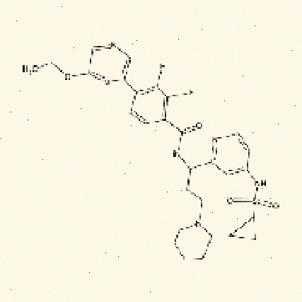 CCOc1cncc(-c2ccc(C(=O)NC(CCN3CCCCC3)c3cc(NS(=O)(=O)C4CC4)ccn3)c(F)c2F)n1